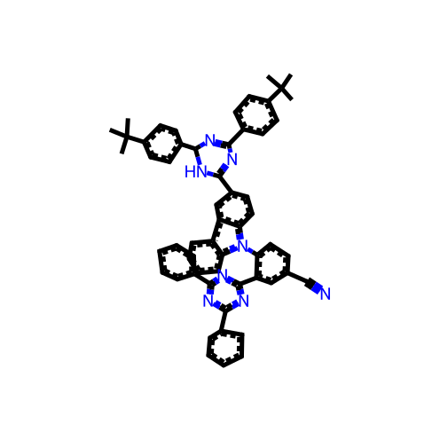 CC(C)(C)c1ccc(C2=NC(c3ccc(C(C)(C)C)cc3)NC(c3ccc4c(c3)c3ccccc3n4-c3ccc(C#N)cc3-c3nc(-c4ccccc4)nc(-c4ccccc4)n3)=N2)cc1